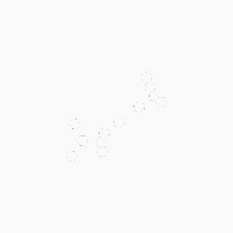 O=S(=O)(c1ccc(-c2ccc3c(c2)c2ccccc2n3-c2nc(-c3ccccc3)nc(-c3ccccc3)n2)cc1)c1ccc(-n2c3ccccc3c3cc4ccccc4cc32)cc1